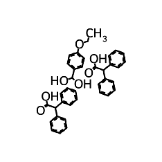 CCOc1ccc(C(O)O)cc1.O=C(O)C(c1ccccc1)c1ccccc1.O=C(O)C(c1ccccc1)c1ccccc1